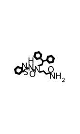 NC(=O)CCCN(CCC(c1ccccc1)c1ccccc1)C(=O)Nc1nc2ccccc2s1